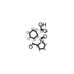 O=CC1CCCN1C(=O)[C@@H]1CCCC[C@@H]1C(=O)O